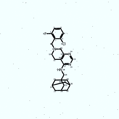 Fc1cccc(Cl)c1CN1CCc2c(ncnc2NCC23CC4CC(CC(C4)C2)C3)C1